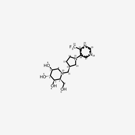 OC[C@H]1[C@@H](O)[C@H](O)[C@@H](O)CN1C[C@H]1CCN(c2cncnc2C(F)(F)F)C1